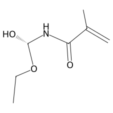 C=C(C)C(=O)N[C@@H](O)OCC